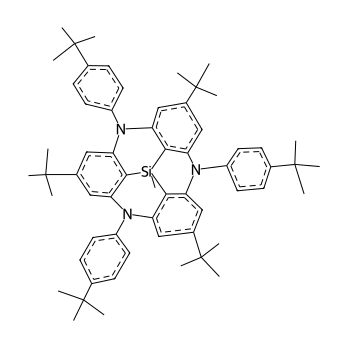 CC(C)(C)c1ccc(N2c3cc(C(C)(C)C)cc4c3[Si]3(C)c5c2cc(C(C)(C)C)cc5N(c2ccc(C(C)(C)C)cc2)c2cc(C(C)(C)C)cc(c23)N4c2ccc(C(C)(C)C)cc2)cc1